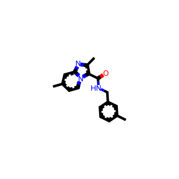 Cc1cccc(CNC(=O)c2c(C)nc3cc(C)ccn23)c1